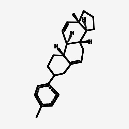 Cc1ccc(C2CC[C@H]3C(=CC[C@@H]4[C@@H]3C=C[C@]3(C)CCC[C@@H]43)C2)cc1